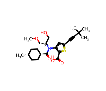 COC[C@H](CO)N(c1cc(C#CC(C)(C)C)sc1C(=O)O)C(=O)[C@H]1CC[C@H](C)CC1